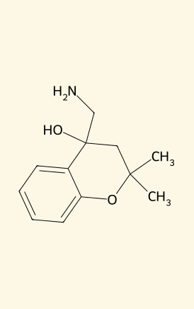 CC1(C)CC(O)(CN)c2ccccc2O1